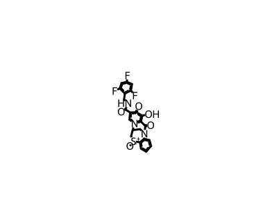 O=C(NCc1c(F)cc(F)cc1F)c1cn2c(c(O)c1=O)C(=O)N1CC2C[S+]([O-])c2ccccc21